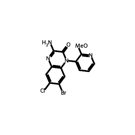 COc1ncccc1-n1c(=O)c(N)nc2cc(Cl)c(Br)cc21